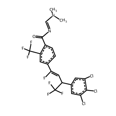 CN(C)/C=N/C(=O)c1ccc(/C(F)=C/C(c2cc(Cl)c(Cl)c(Cl)c2)C(F)(F)F)cc1C(F)(F)F